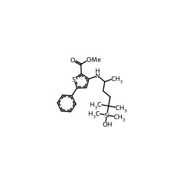 COC(=O)c1sc(-c2ccccc2)cc1NC(C)CCC(C)(C)[Si](C)(C)O